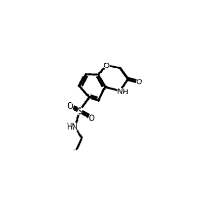 [CH2]CNS(=O)(=O)c1ccc2c(c1)NC(=O)CO2